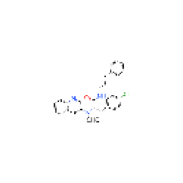 O=CN(c1cnc2ccccc2c1)[C@@H](Cc1ccc(Cl)cc1)C(=O)NCCCc1ccccc1